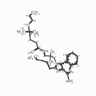 CCCCc1nc2c(N)nc3ccccc3c2n1CC(C)(C)CNC(=O)CCC(C)(C)OCCC